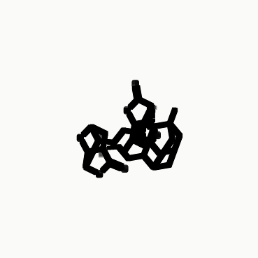 Cc1c2c3oc1c(CC[C@@H]1C4C[C@@]5(CCC6C7CC8CC6CC(C)(C8)C7)C(=O)OC1C5O4)c3C(=O)O2